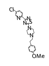 COc1ccc(CCN2CCN(c3nc(-c4ccc(Cl)cn4)ns3)CC2)cc1